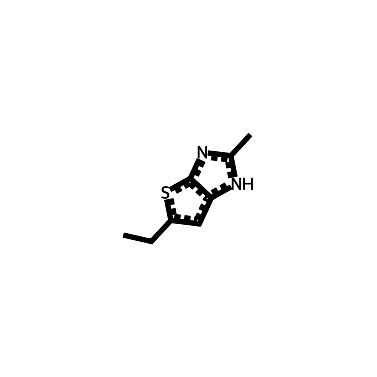 CCc1cc2[nH]c(C)nc2s1